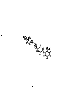 CC(=O)c1ccccc1-c1ccc(OCC2C3CN(C(C)C)CC23)cc1